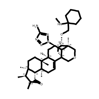 CNC1(CO[C@H]2[C@H](n3nnc(N)n3)C[C@@]34COC[C@@]2(C)[C@@H]3CC[C@H]2C4=CC[C@@]3(C)[C@H](C(=O)O)[C@@](C)([C@H](C)C(C)C)CC[C@]23C)CCCCC1